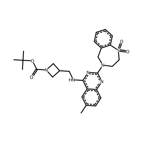 Cc1ccc2nc(N3CCS(=O)(=O)c4ccccc4C3)nc(NCC3CN(C(=O)OC(C)(C)C)C3)c2c1